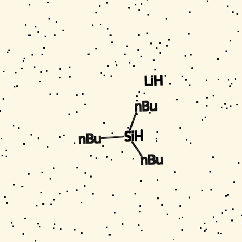 CCCC[SiH](CCCC)CCCC.[LiH]